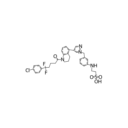 O=C(CCCC(F)(F)c1ccc(Cl)cc1)N1CCCc2c(-c3cnn(Cc4cccc(NCCS(=O)(=O)O)c4)c3)cccc21